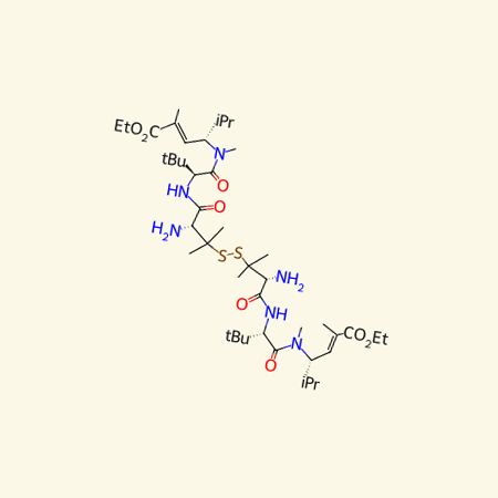 CCOC(=O)/C(C)=C/[C@H](C(C)C)N(C)C(=O)[C@@H](NC(=O)[C@@H](N)C(C)(C)SSC(C)(C)[C@H](N)C(=O)N[C@H](C(=O)N(C)[C@H](/C=C(\C)C(=O)OCC)C(C)C)C(C)(C)C)C(C)(C)C